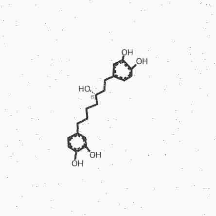 Oc1ccc(CCCC[C@H](O)CCc2ccc(O)c(O)c2)cc1O